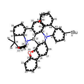 CC(C)(C)c1ccc(N2c3cc(C(C)(C)C)cc4c3B(c3c2ccc2c3oc3ccccc32)N2c3ccccc3C(C)(C)c3cccc-4c32)c(-c2ccccc2)c1